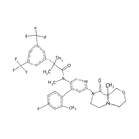 Cc1cc(F)ccc1-c1cc(N2CCN3CCOCC3(C)C2=O)ncc1N(C)C(=O)C(C)(C)c1cc(C(F)(F)F)cc(C(F)(F)F)c1